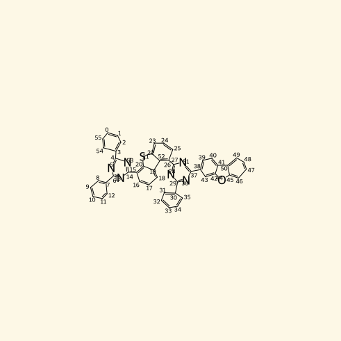 c1ccc(-c2nc(-c3ccccc3)nc(-c3cccc4c3sc3cccc(-c5nc(-c6ccccc6)nc(-c6ccc7c(c6)oc6ccccc67)n5)c34)n2)cc1